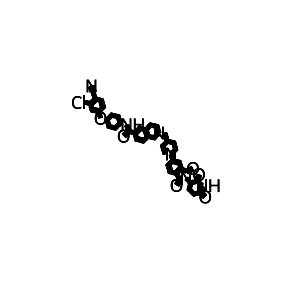 N#Cc1ccc(O[C@H]2CC[C@H](NC(=O)c3ccc4c(c3)CCN(CC3CCN(c5ccc6c(c5)C(=O)N(C5CCC(=O)NC5=O)C6=O)CC3)C4)CC2)cc1Cl